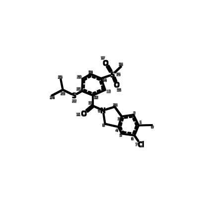 Cc1cc2c(cc1Cl)CN(C(=O)c1cc(S(C)(=O)=O)ccc1SC(C)C)C2